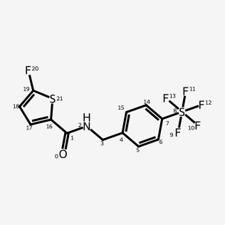 O=C(NCc1ccc(S(F)(F)(F)(F)F)cc1)c1ccc(F)s1